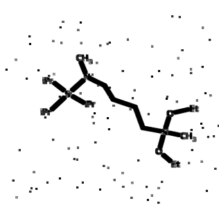 CCO[Si](C)(CCCCN(C)[Si](C(C)C)(C(C)C)C(C)C)OCC